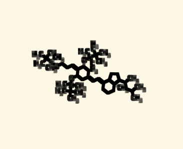 CC(C)C[C@H](C)C1CCC2/C(=C/C=C3C[C@@H](O[Si](C)(C)C(C)(C)C)C(=CCCO[Si](C)(C)C(C)(C)C)[C@H](O[Si](C)(C)C(C)(C)C)C3)CCC[C@@]21C